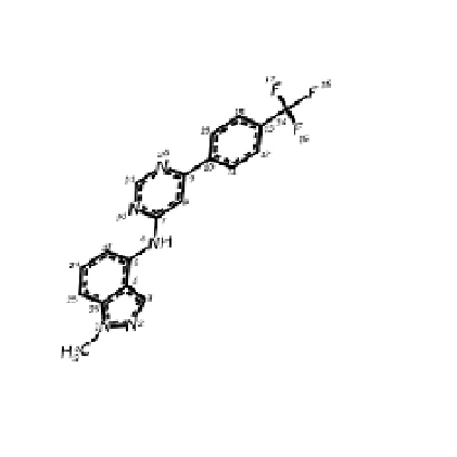 Cn1ncc2c(Nc3cc(-c4ccc(C(F)(F)F)cc4)ncn3)cccc21